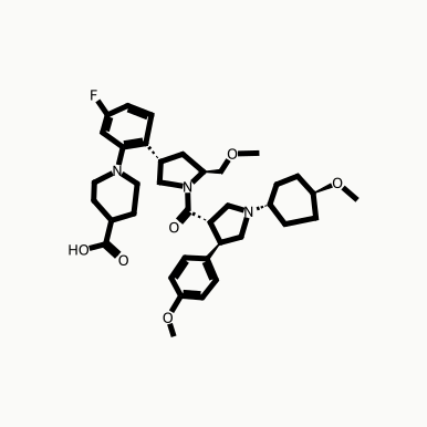 COC[C@@H]1C[C@@H](c2ccc(F)cc2N2CCC(C(=O)O)CC2)CN1C(=O)[C@@H]1CN([C@H]2CC[C@H](OC)CC2)C[C@H]1c1ccc(OC)cc1